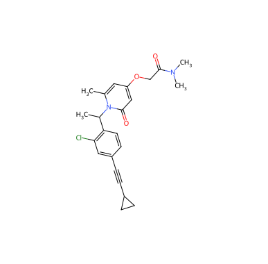 Cc1cc(OCC(=O)N(C)C)cc(=O)n1C(C)c1ccc(C#CC2CC2)cc1Cl